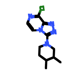 CC1CCN(c2nnc3c(Cl)nccn23)CC1C